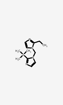 CCc1nccn1Cn1ccnc1S(C)(C)C